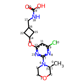 C[C@H]1COCCN1c1nc(Cl)cc(OC2CC(CNC(=O)O)C2)n1